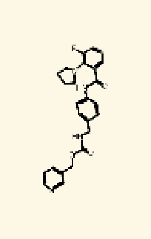 O=C(NCc1ccc(NC(=O)c2cccc(F)c2N2CCCC2)cc1)OCc1cccnc1